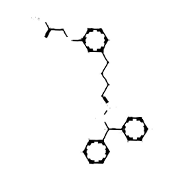 COC(=O)COc1cccc(CCC/C=N/OC(c2ccccc2)c2ccccc2)c1